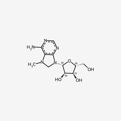 CN1CN([C@@H]2O[C@H](CO)[C@@H](O)[C@H]2O)c2ncnc(N)c21